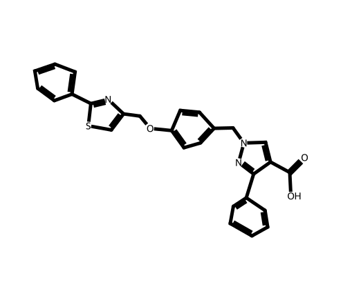 O=C(O)c1cn(Cc2ccc(OCc3csc(-c4ccccc4)n3)cc2)nc1-c1ccccc1